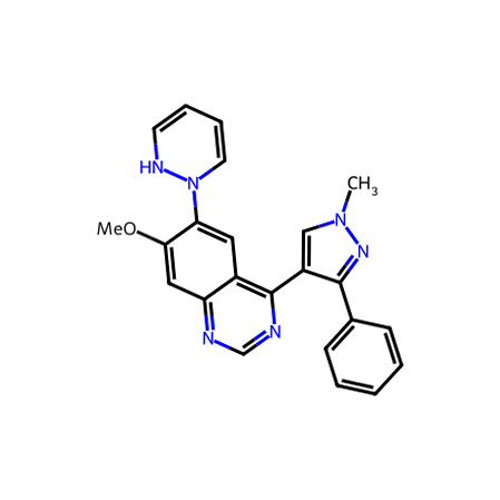 COc1cc2ncnc(-c3cn(C)nc3-c3ccccc3)c2cc1N1C=CC=CN1